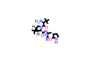 CC(C)(C)[C@H](N)C(=O)N1C[C@H]2[C@@H]([C@H]1C(=O)N[C@H](C#N)C[C@@H]1CCNC1=O)C2(C)C